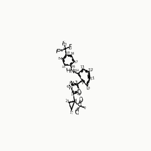 CS(=O)(=O)C1(c2nnc(-c3ccccc3Nc3ccc(C(F)(F)F)cc3)o2)CC1